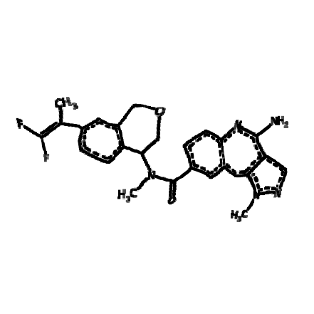 CC(=C(F)F)c1ccc2c(c1)COCC2N(C)C(=O)c1ccc2nc(N)c3cnn(C)c3c2c1